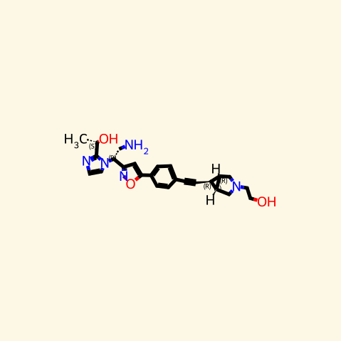 C[C@H](O)c1nccn1[C@H](CN)c1cc(-c2ccc(C#C[C@H]3[C@H]4CN(CCO)C[C@@H]34)cc2)on1